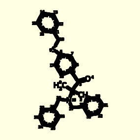 CC(C)(C(=O)c1ccc(SCc2ccccc2)cc1)N(Cc1ccccc1)Cc1ccccc1